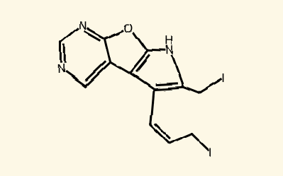 IC/C=C\c1c(CI)[nH]c2oc3ncncc3c12